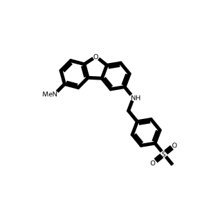 CNc1ccc2oc3ccc(NCc4ccc(S(C)(=O)=O)cc4)cc3c2c1